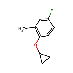 Cc1cc(F)ccc1OC1CC1